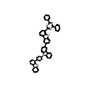 c1ccc(-c2nc(-c3ccccc3)nc(-c3cccc4c3oc3ccc(-c5ccc6c(c5)c5ccccc5n6-c5ccc(-c6cccc7c6oc6ccccc67)cc5)cc34)n2)cc1